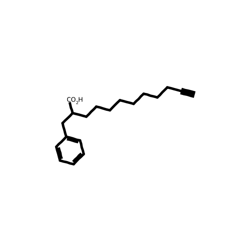 C#CCCCCCCCCC(Cc1ccccc1)C(=O)O